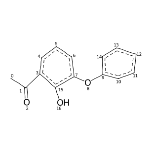 CC(=O)c1cccc(Oc2ccccc2)c1O